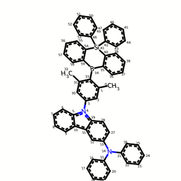 Cc1cc(-n2c3ccccc3c3cc(N(c4ccccc4)c4ccccc4)ccc32)cc(C)c1B1c2ccccc2[Si](c2ccccc2)(c2ccccc2)c2ccccc21